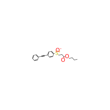 CCCCOC(=O)CC[S+]([O-])c1ccc(C#Cc2ccccc2)cc1